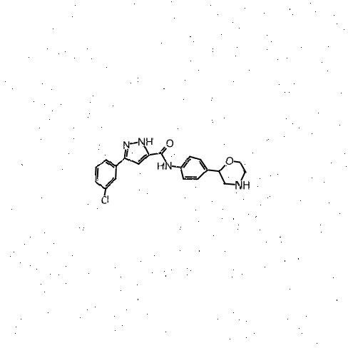 O=C(Nc1ccc(C2CNCCO2)cc1)c1cc(-c2cccc(Cl)c2)n[nH]1